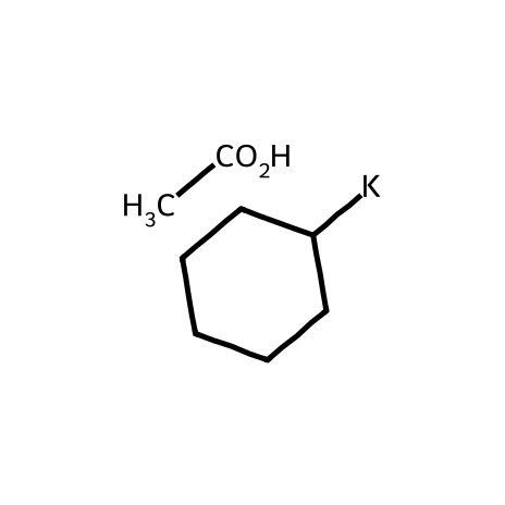 CC(=O)O.[K][CH]1CCCCC1